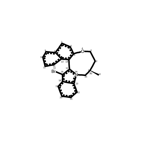 C[C@@H]1CCOc2ccc3ccccc3c2-c2c(Br)c3ccccc3n2C1